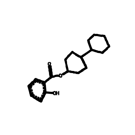 O=C(OC1CCC(C2CCCCC2)CC1)c1ccccc1O